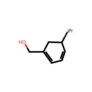 CC(C)C1C=CC=C(CO)C1